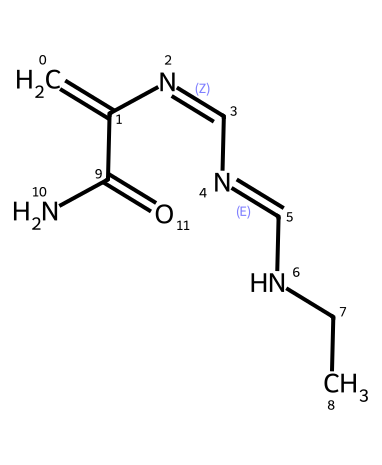 C=C(/N=C\N=C\NCC)C(N)=O